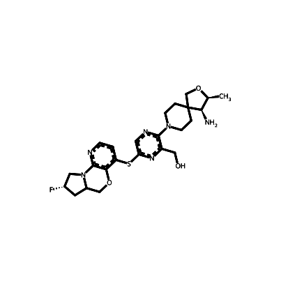 C[C@@H]1OCC2(CCN(c3ncc(Sc4ccnc5c4OCC4C[C@H](F)CN54)nc3CO)CC2)[C@@H]1N